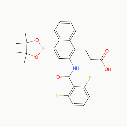 CC1(C)OB(c2cc(NC(=O)c3c(F)cccc3F)c(CCC(=O)O)c3ccccc23)OC1(C)C